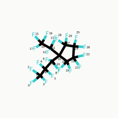 FC(F)(F)C(F)(F)C(F)(F)C1(C(F)(F)C(F)(F)F)C(F)(F)C(F)(F)C(F)(F)C1(F)F